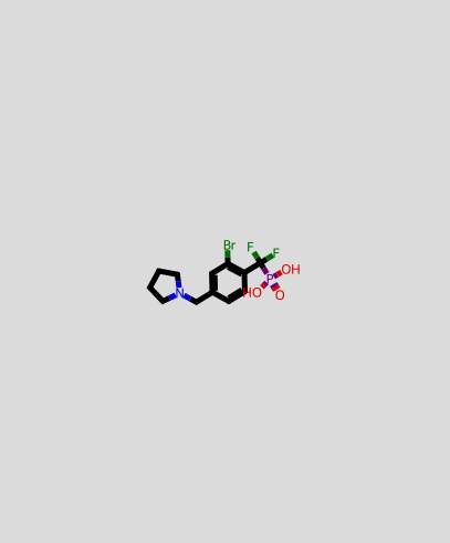 O=P(O)(O)C(F)(F)c1ccc(CN2CCCC2)cc1Br